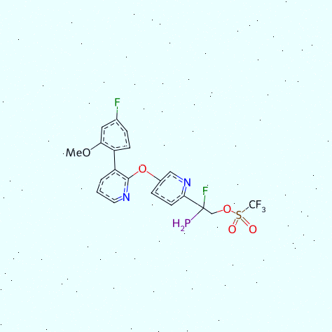 COc1cc(F)ccc1-c1cccnc1Oc1ccc(C(F)(P)COS(=O)(=O)C(F)(F)F)nc1